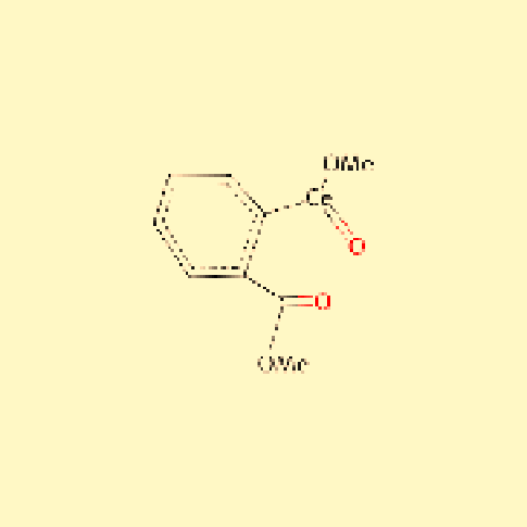 COC(=O)c1cccc[c]1[Ce](=[O])[O]C